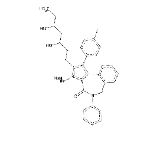 CC(C)n1c(CCC(O)CC(O)CC(=O)O)c(-c2ccc(F)cc2)c2c1C(=O)N(c1ccccc1)Cc1ccccc1-2.[NaH]